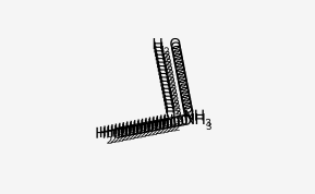 N.N.O.O.O.O.O.O.O.O.O.O.O.O.O.O.O.O.O.O.O.O.O.O.O.O.O.O.O.O.O.O.O.O.O.O.O.O.O.O